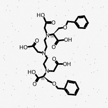 O=C(O)CN(CCN(CC(=O)O)[C@@H](COCc1ccccc1)C(=O)O)CCN(CC(=O)O)[C@@H](COCc1ccccc1)C(=O)O